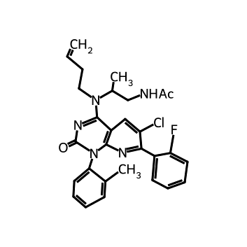 C=CCCN(c1nc(=O)n(-c2ccccc2C)c2nc(-c3ccccc3F)c(Cl)cc12)C(C)CNC(C)=O